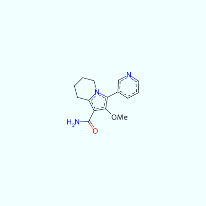 COc1c(C(N)=O)c2n(c1-c1cccnc1)CCCC2